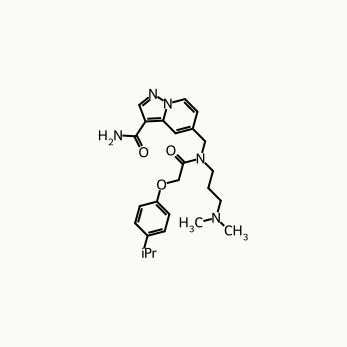 CC(C)c1ccc(OCC(=O)N(CCCN(C)C)Cc2ccn3ncc(C(N)=O)c3c2)cc1